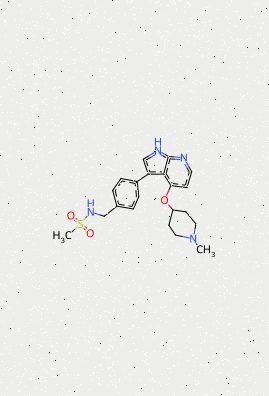 CN1CCC(Oc2ccnc3[nH]cc(-c4ccc(CNS(C)(=O)=O)cc4)c23)CC1